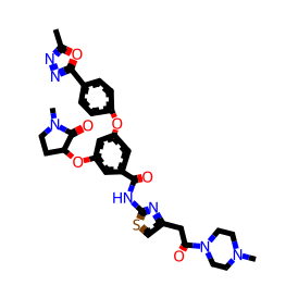 Cc1nnc(-c2ccc(Oc3cc(OC4CCN(C)C4=O)cc(C(=O)Nc4nc(CC(=O)N5CCN(C)CC5)cs4)c3)cc2)o1